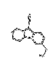 COc1ccc2c(C#N)c3ccccc3n2c1